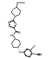 N#Cc1ccc(O[C@H]2CC[C@H](NC(=O)c3nnc(N4CCC(CO)CC4)s3)CC2)cc1Cl